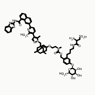 Cc1c(-c2ccc(-c3ccc4cccc(C(=O)Nc5nc6ccccc6s5)c4c3)nc2C(=O)O)cnn1CC12CC3(C)CC(C)(C1)CC(OCCN(C)C(=O)OCc1ccc(O[C@@H]4O[C@H](C(=O)O)[C@@H](O)[C@H](O)[C@H]4O)cc1CCCCNC(=O)C(N)CS(=O)(=O)O)(C3)C2